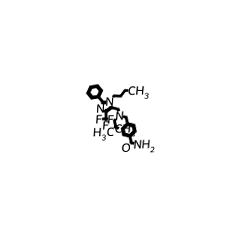 CCCCn1c(-c2ccccc2)nc(C(F)(F)F)c1CN(Cc1ccc(C(N)=O)cc1)CC(C)C